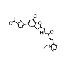 CCn1nccc1/C=C/C(=O)NCC1Cc2cc(-c3ccc(C(C)=O)s3)cc(Cl)c2O1